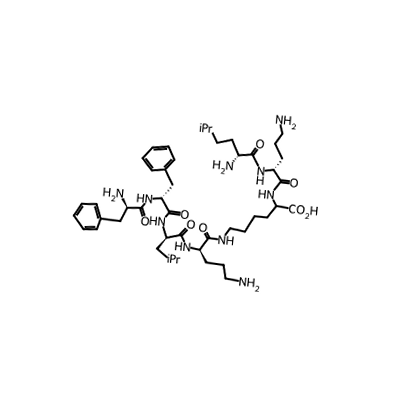 CC(C)CC[C@@H](N)C(=O)N[C@H](CCCN)C(=O)NC(CCCCNC(=O)[C@@H](CCCN)NC(=O)[C@@H](CC(C)C)NC(=O)[C@@H](Cc1ccccc1)NC(=O)[C@H](N)Cc1ccccc1)C(=O)O